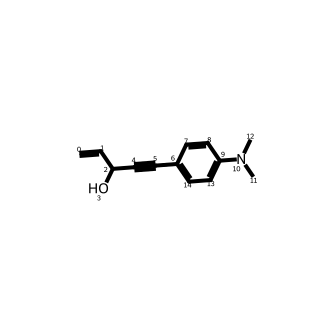 C=CC(O)C#Cc1ccc(N(C)C)cc1